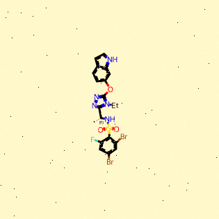 CCn1c(Oc2ccc3cc[nH]c3c2)nnc1[C@@H](C)NS(=O)(=O)c1c(F)cc(Br)cc1Br